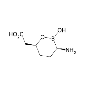 N[C@H]1CC[C@@H](CC(=O)O)OB1O